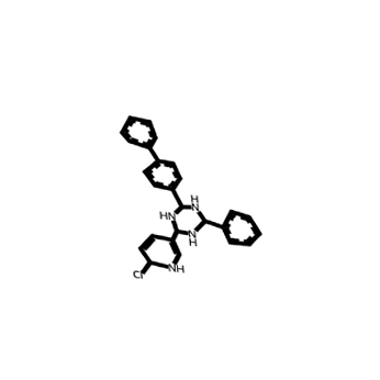 ClC1C=CC(C2NC(c3ccccc3)NC(c3ccc(-c4ccccc4)cc3)N2)=CN1